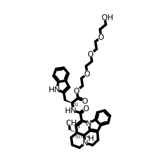 CC[C@@]12C=C(C(=O)N[C@@H](Cc3cc4ccccc4[nH]3)C(=O)OCCOCCOCCOCCO)n3c4c(c5ccccc53)CCN(CCC1)[C@H]42